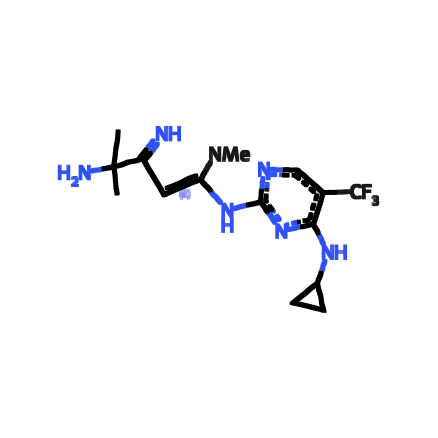 CN/C(=C\C(=N)C(C)(C)N)Nc1ncc(C(F)(F)F)c(NC2CC2)n1